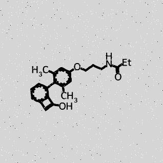 CCC(=O)NCCCOc1cc(C)c(-c2cccc3c2C(O)=C3)c(C)c1